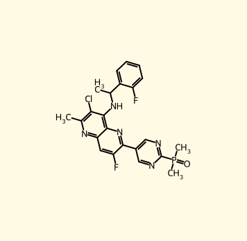 Cc1nc2cc(F)c(-c3cnc(P(C)(C)=O)nc3)nc2c(NC(C)c2ccccc2F)c1Cl